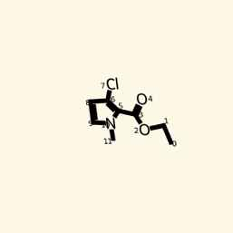 CCOC(=O)c1c(Cl)ccn1C